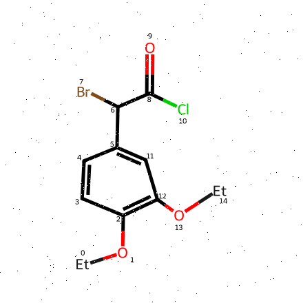 CCOc1ccc(C(Br)C(=O)Cl)cc1OCC